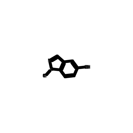 Oc1ccc2c(cnn2Cl)c1